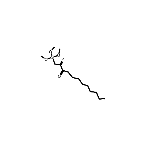 CCCCCCCCCC(=O)C(=S)C[Si](OC)(OC)OC